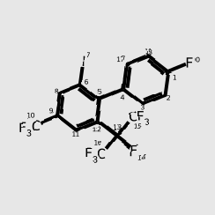 Fc1ccc(-c2c(I)[c]c(C(F)(F)F)cc2C(F)(C(F)(F)F)C(F)(F)F)cc1